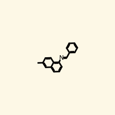 Cc1ccc2c(/N=C/c3ccccc3)cccc2c1